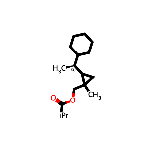 CC(C)C(=O)OCC1(C)CC1[C@@H](C)C1CCCCC1